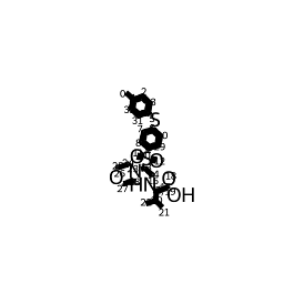 Cc1ccc(Sc2ccc(S(=O)(=O)C(CN[C@@H](C(=O)O)C(C)C)N3CCOCC3)cc2)cc1